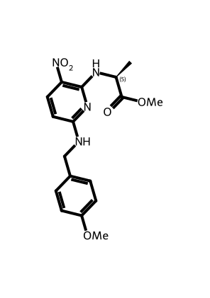 COC(=O)[C@H](C)Nc1nc(NCc2ccc(OC)cc2)ccc1[N+](=O)[O-]